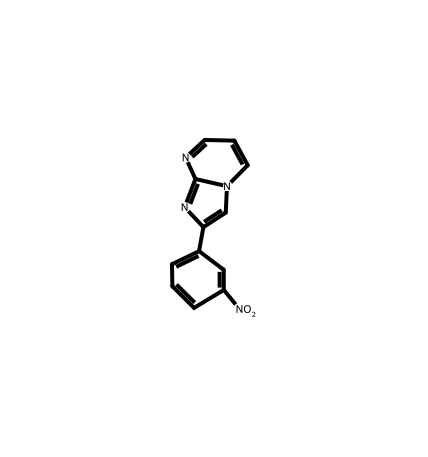 O=[N+]([O-])c1cccc(-c2cn3cccnc3n2)c1